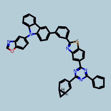 C1=CC2C[C@H]2C=C1c1nc(-c2ccccc2)nc(-c2ccc3sc(-c4cccc(-c5ccc6c(c5)c5ccccc5n6-c5ccc6ocnc6c5)c4)nc3c2)n1